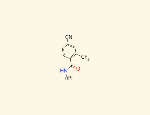 CCCNC(=O)c1ccc(C#N)cc1C(F)(F)F